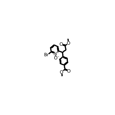 COC(=O)CC(c1ccc(C(=O)OC)cc1)c1cccc(Br)[n+]1[O-]